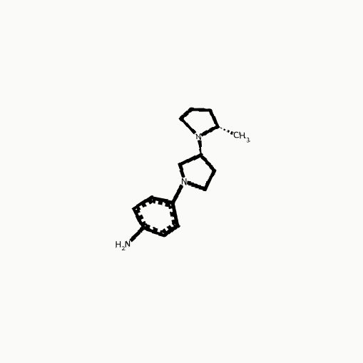 C[C@H]1CCCN1[C@H]1CCN(c2ccc(N)cc2)C1